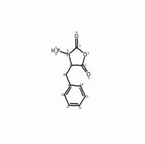 O=C1OC(=O)N(P)C1Cc1ccccc1